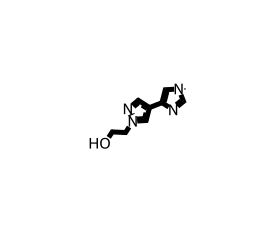 OCCn1cc(C2=C[N]C=N2)cn1